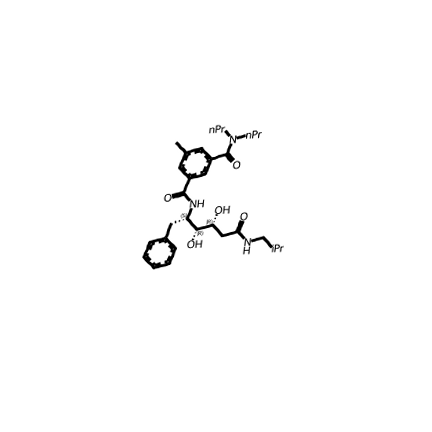 CCCN(CCC)C(=O)c1cc(C)cc(C(=O)N[C@@H](Cc2ccccc2)[C@@H](O)[C@H](O)CC(=O)NCC(C)C)c1